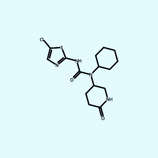 O=C1CCC(N(C(=O)Nc2ncc(Cl)s2)C2CCCCC2)CN1